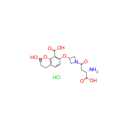 Cl.N[C@@H](CC(=O)N1CC(Oc2ccc3c(c2C(=O)O)OB(O)CC3)C1)C(=O)O